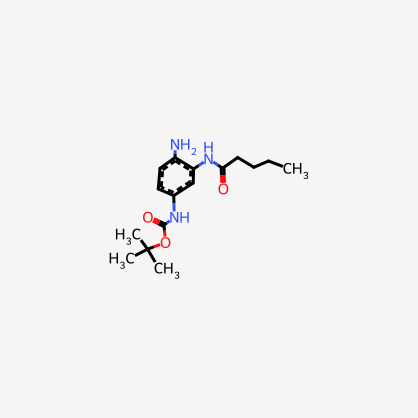 CCCCC(=O)Nc1cc(NC(=O)OC(C)(C)C)ccc1N